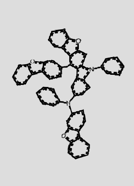 c1ccc(N(c2ccc3c(c2)oc2ccccc23)c2ccc3c(c2)c2c(-c4ccc5c(c4)oc4ccccc45)c4c(cc2n3-c2ccccc2)oc2ccccc24)cc1